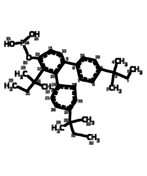 CCC(C)(C)c1ccc(-c2ccc(OP(O)O)c(C(C)(C)CC)c2-c2ccc(C(C)(C)CC)cc2)cc1